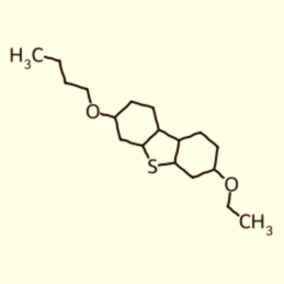 CCCCOC1CCC2C(C1)SC1CC(OCC)CCC12